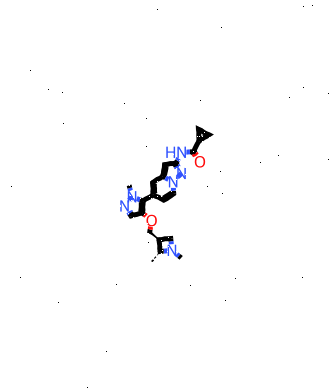 C[C@@H]1[C@@H](COc2cnn(C)c2-c2ccn3nc(NC(=O)C4CC4)cc3c2)CN1C